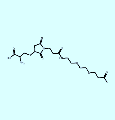 CC(=O)CCOCCOCCNC(=O)CCN1C(=O)CC(SCC(N)C(=O)O)C1=O